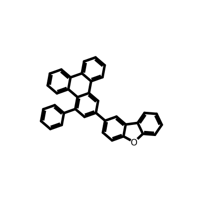 c1ccc(-c2cc(-c3ccc4oc5ccccc5c4c3)cc3c4ccccc4c4ccccc4c23)cc1